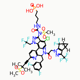 CC(C)(C#Cc1ccc(-c2ccc(Cl)c3c(N(C(=O)NCCCCP(=O)(O)O)S(C)(=O)=O)nn(CC(F)(F)F)c23)c(C(Cc2cc(F)cc(F)c2)NC(=O)Cn2nc(C(F)(F)F)c3c2C(F)(F)[C@@H]2C[C@H]32)n1)S(C)(=O)=O